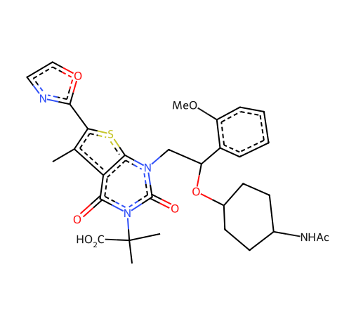 COc1ccccc1C(Cn1c(=O)n(C(C)(C)C(=O)O)c(=O)c2c(C)c(-c3ncco3)sc21)OC1CCC(NC(C)=O)CC1